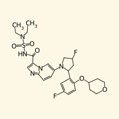 CCN(CC)S(=O)(=O)NC(=O)c1cnc2ccc(N3CC(F)CC3c3cc(F)ccc3OC3CCOCC3)cn12